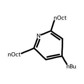 [CH2]CCCc1cc(CCCCCCCC)nc(CCCCCCCC)c1